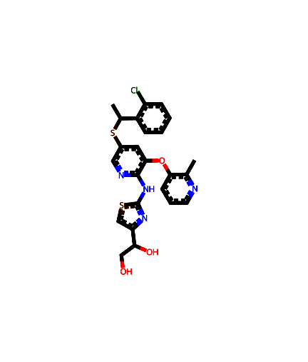 Cc1ncccc1Oc1cc(SC(C)c2ccccc2Cl)cnc1Nc1nc(C(O)CO)cs1